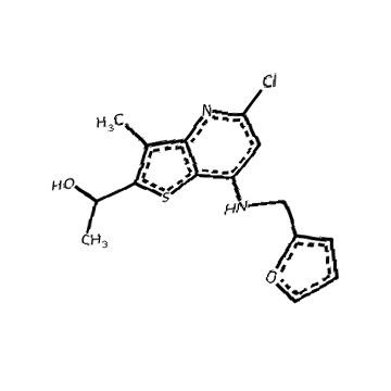 Cc1c(C(C)O)sc2c(NCc3ccco3)cc(Cl)nc12